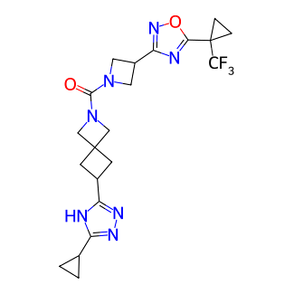 O=C(N1CC(c2noc(C3(C(F)(F)F)CC3)n2)C1)N1CC2(CC(c3nnc(C4CC4)[nH]3)C2)C1